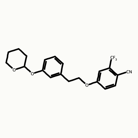 N#Cc1ccc(OCCc2cccc(OC3CCCCO3)c2)cc1C(F)(F)F